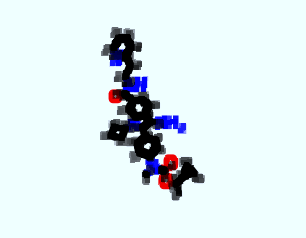 C[C@@H](OC(=O)N(C)c1ccc(-c2c(N)c3ccc(C(=O)NCCc4ccccn4)cc3n2C2CCC2)cc1)C1CC1